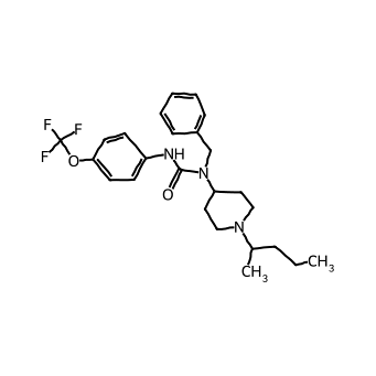 CCCC(C)N1CCC(N(Cc2ccccc2)C(=O)Nc2ccc(OC(F)(F)F)cc2)CC1